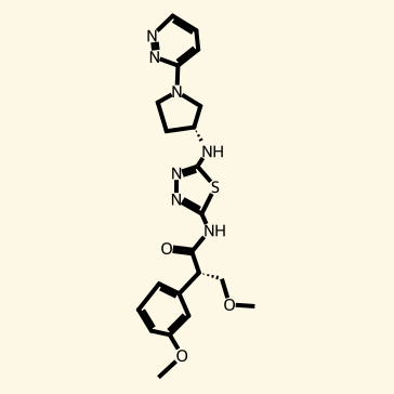 COC[C@@H](C(=O)Nc1nnc(N[C@@H]2CCN(c3cccnn3)C2)s1)c1cccc(OC)c1